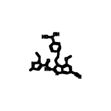 CCn1nc(C)cc1C(=O)Nc1nc2cc(C#N)cc(OC)c2n1CCc1ccc(P(O)O)cc1